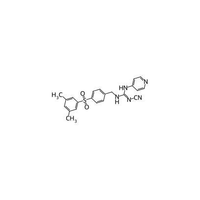 Cc1cc(C)cc(S(=O)(=O)c2ccc(CNC(=NC#N)Nc3ccncc3)cc2)c1